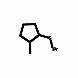 CC(C)SC1CCCC1C